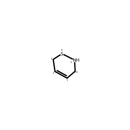 [C]1C=CCSN1